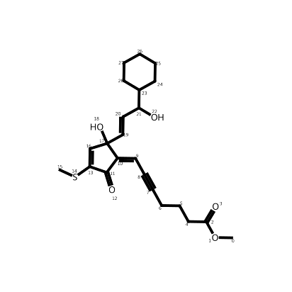 COC(=O)CCCC#CC=C1C(=O)C(SC)=CC1(O)C=CC(O)C1CCCCC1